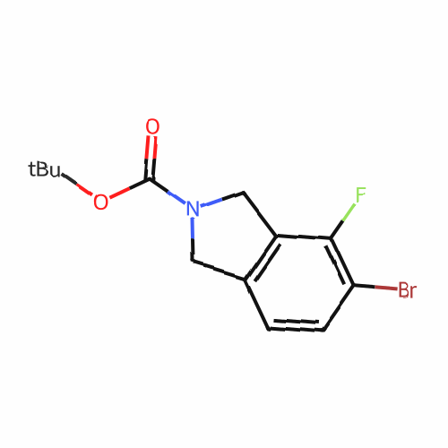 CC(C)(C)OC(=O)N1Cc2ccc(Br)c(F)c2C1